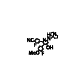 COc1ccc(-c2c(O)cc(NCC34CCCN3CCC4)nc2-c2ccc(C#N)c(F)c2)cc1F